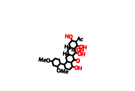 COC1CCC(C2CCC(O)C3C(=O)C4C(O)[C@]5(O)C(O)C(C(C)=O)C(O)C[C@@H]5C[C@@H]4CC23)C(OC)C1